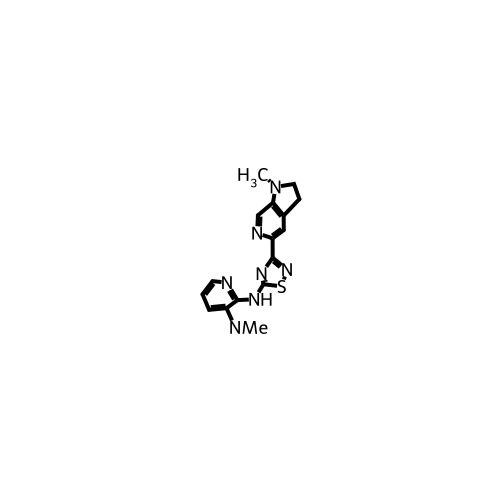 CNc1cccnc1Nc1nc(-c2cc3c(cn2)N(C)CC3)ns1